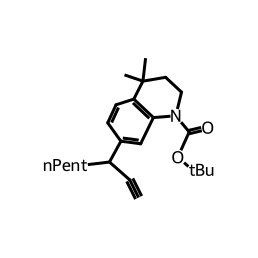 C#CC(CCCCC)c1ccc2c(c1)N(C(=O)OC(C)(C)C)CCC2(C)C